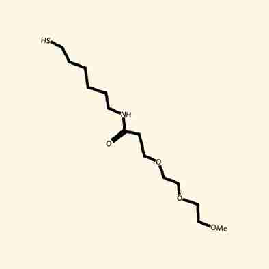 COCCOCCOCCC(=O)NCCCCCCS